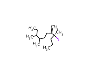 C=C(CCC(C)C(C)CC)[C@@](C)(I)CCC